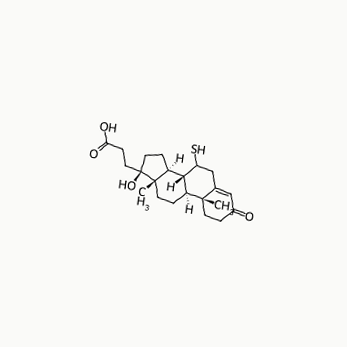 C[C@]12CCC(=O)C=C1CC(S)[C@@H]1[C@@H]2CC[C@@]2(C)[C@H]1CC[C@@]2(O)CCC(=O)O